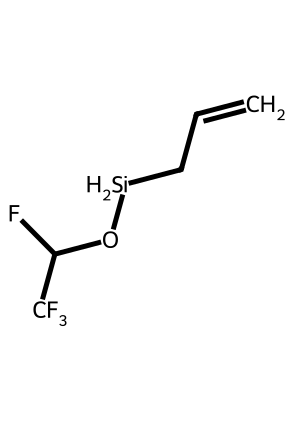 C=CC[SiH2]OC(F)C(F)(F)F